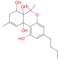 CCCCc1cc(O)c2c(c1)OC(C)(C)C1(O)C(O)CC(C)=CC21O